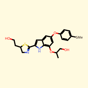 CSc1ccc(Oc2cc(OC(C)CO)c3[nH]c(C4=NCC(CCO)S4)cc3c2)cc1